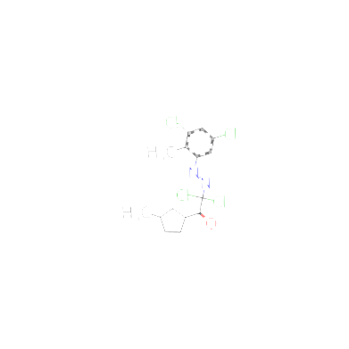 Cc1c(Cl)cc(Cl)cc1N=NC(Cl)(Cl)C(=O)C1CCC(C)C1